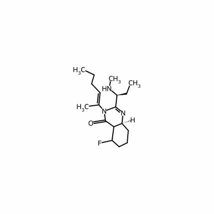 CCC/C=C(\C)N1C(=O)C2C(F)CCC[C@@H]2N=C1[C@H](CC)NC